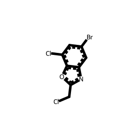 ClCc1nc2cc(Br)cc(Cl)c2o1